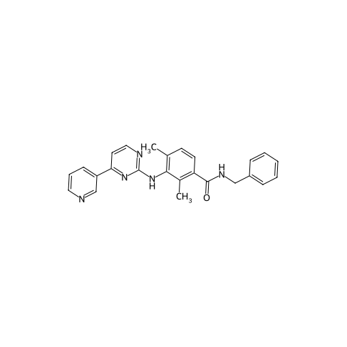 Cc1ccc(C(=O)NCc2ccccc2)c(C)c1Nc1nccc(-c2cccnc2)n1